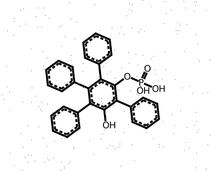 O=P(O)(O)Oc1c(-c2ccccc2)c(O)c(-c2ccccc2)c(-c2ccccc2)c1-c1ccccc1